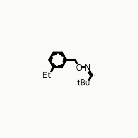 CCc1cccc(CO/N=[C]\C(C)(C)C)c1